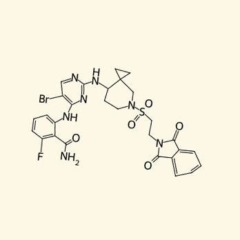 NC(=O)c1c(F)cccc1Nc1nc(NC2CCN(S(=O)(=O)CCN3C(=O)c4ccccc4C3=O)CC23CC3)ncc1Br